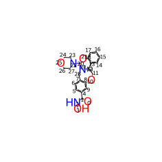 O=C(NO)c1ccc2c(c1)OC[C@H](c1ccccc1)N(C(=O)N1CCOCC1)C2